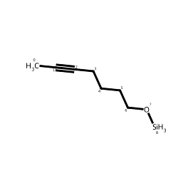 CC#CCCCCO[SiH3]